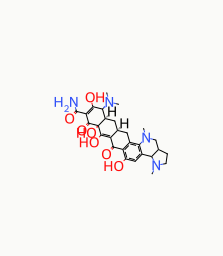 CN1CC2CCN(C)C2c2cc(O)c3c(c21)C[C@@H]1C[C@@H]2[C@H](N(C)C)C(O)=C(C(N)=O)C(=O)[C@@]2(O)C(O)=C1C3=O